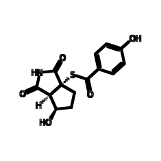 O=C(S[C@]12CC[C@@H](O)[C@H]1C(=O)NC2=O)c1ccc(O)cc1